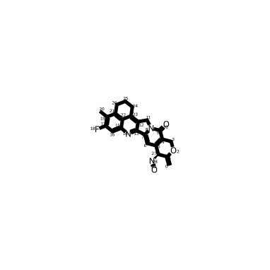 C=C1OCc2c(cc3n(c2=O)Cc2c-3nc3cc(F)c(C)c4c3c2CCC4)[C@@H]1N=O